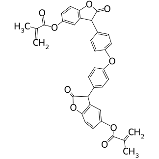 C=C(C)C(=O)Oc1ccc2c(c1)C(c1ccc(Oc3ccc(C4C(=O)Oc5ccc(OC(=O)C(=C)C)cc54)cc3)cc1)C(=O)O2